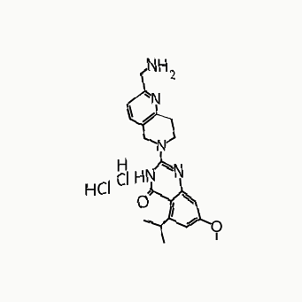 COc1cc(C(C)C)c2c(=O)[nH]c(N3CCc4nc(CN)ccc4C3)nc2c1.Cl.Cl